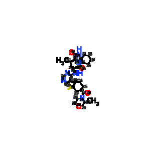 Cc1cc(Nc2ncnc3sc4c(c23)CC[C@H](C(=O)N2CCOC[C@H]2C)C4)c(=O)n2c1C(=O)NC21CCCCC1